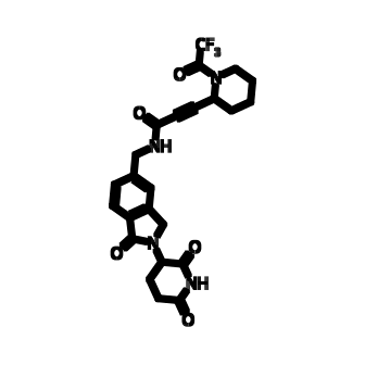 O=C(C#CC1CCCCN1C(=O)C(F)(F)F)NCc1ccc2c(c1)CN(C1CCC(=O)NC1=O)C2=O